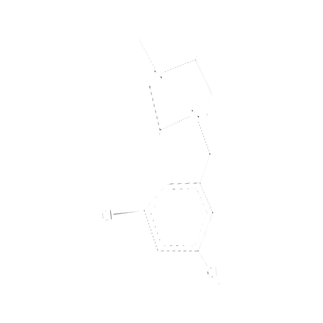 CN1CCN(Cc2cc(Cl)cc(Cl)c2)CC1